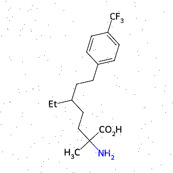 CCC(CCc1ccc(C(F)(F)F)cc1)CCC(C)(N)C(=O)O